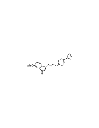 COc1ccc2c(CCCCN3CC=C(c4cccs4)CC3)c[nH]c2c1